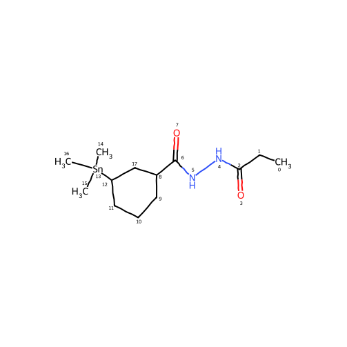 CCC(=O)NNC(=O)C1CCC[CH]([Sn]([CH3])([CH3])[CH3])C1